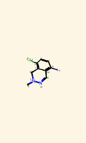 CN1Cc2c(Cl)ccc(I)c2C=N1